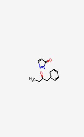 CCC(=O)Cc1ccccc1.O=C1C=CN=N1